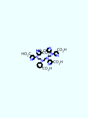 O=C(O)C1=CC(N(CCN(CCN(c2cncc(C(=O)O)c2)c2cncc(C(=O)O)c2)c2cncc(C(=O)O)c2)CCN(c2cncc(C(=O)O)c2)c2cncc(C(=O)O)c2)=CC=C=C1